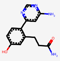 NC(=O)CCc1cc(O)ccc1-c1cc(N)ncn1